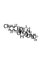 O=C(CN1CCC[C@H](NS(=O)(=O)c2ccc3cc(Cl)ccc3c2)C1=O)N1CCCC1